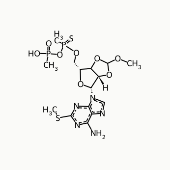 COC1OC2[C@@H](COP(C)(=S)OP(C)(=O)O)O[C@@H](n3cnc4c(N)nc(SC)nc43)[C@H]2O1